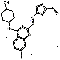 O=Nc1ccc(/C=C/c2nc(NC3CCC(O)CC3)c3ccc(F)cc3n2)o1